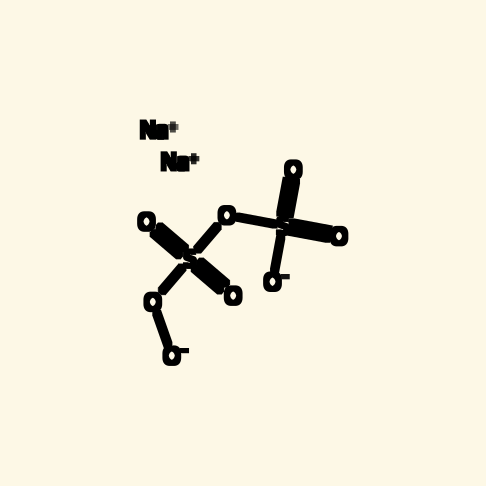 O=S(=O)([O-])OS(=O)(=O)O[O-].[Na+].[Na+]